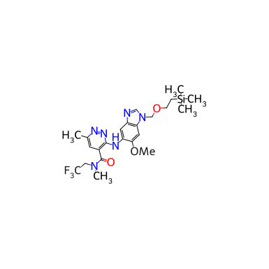 COc1cc2c(cc1Nc1nnc(C)cc1C(=O)N(C)CC(F)(F)F)ncn2COCC[Si](C)(C)C